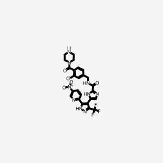 O=C(NCc1ccc(C(=O)N2CCNCC2)c(Cl)c1)c1ncc(-c2c(C(F)(F)F)n[nH]c2-c2ccc([N+](=O)[O-])cn2)[nH]1